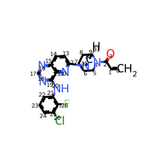 C=CC(=O)N1CC2CC[C@@H]1CN2c1ccc2ncnc(Nc3cccc(Cl)c3F)c2n1